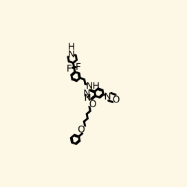 FC(F)(c1cccc(CCNc2nnc(OCCCCCCOCc3ccccc3)c3cc(N4CCOCC4)ccc23)c1)C1CCNCC1